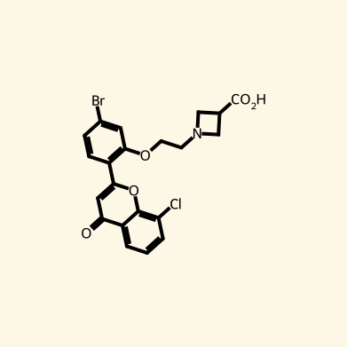 O=C(O)C1CN(CCOc2cc(Br)ccc2-c2cc(=O)c3cccc(Cl)c3o2)C1